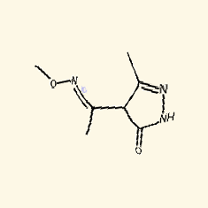 CO/N=C(\C)C1C(=O)NN=C1C